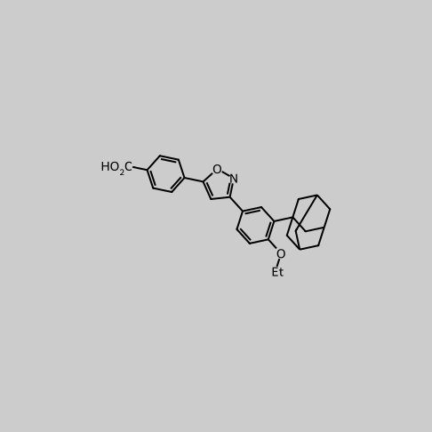 CCOc1ccc(-c2cc(-c3ccc(C(=O)O)cc3)on2)cc1C12CC3CC(CC(C3)C1)C2